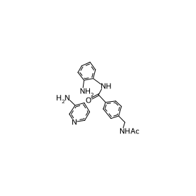 CC(=O)NCc1ccc(C(=O)Nc2ccccc2N)cc1.Nc1cccnc1